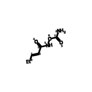 CCC=CC(=O)NOC(N)=O